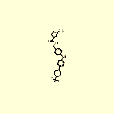 CN1CCC(C(=O)NCc2ccc(Nc3ccc(N4CCC(C(F)(F)F)CC4)cc3)cc2)C1